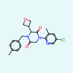 Cc1ccc(CN2C(=O)CN(c3ncc(Cl)cc3C)C(=O)C2C2COC2)cc1